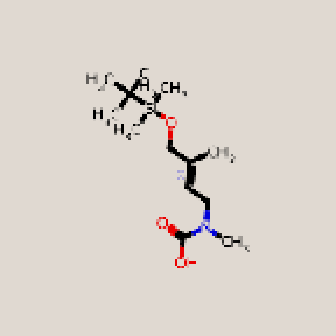 C/C(=C\CN(C)C(=O)O)CO[Si](C)(C)C(C)(C)C